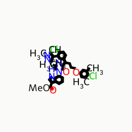 COC(=O)c1c[nH]c2c(N3C[C@@H](C)n4c(c(CCCOc5cc(C)c(Cl)c(C)c5)c5ccc(Cl)c(-c6c(C)nn(C)c6C)c54)C3=O)cccc12